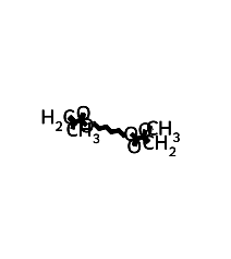 C=C(C)C(=O)OCCCCCCOC(=O)C(=C)OC